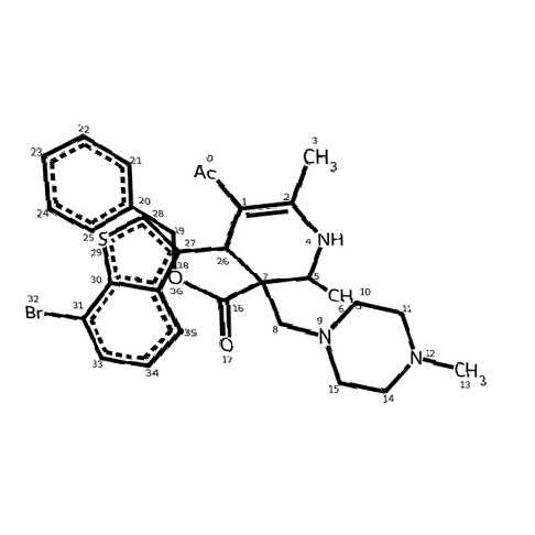 CC(=O)C1=C(C)NC(C)C(CN2CCN(C)CC2)(C(=O)OCc2ccccc2)C1c1csc2c(Br)cccc12